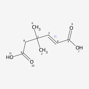 CC(C)(/C=C/C(=O)O)CC(=O)O